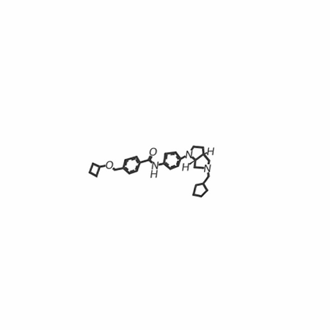 O=C(Nc1ccc(N2CC[C@@H]3CN(CC4CCCC4)C[C@@H]32)cc1)c1ccc(COC2CCC2)cc1